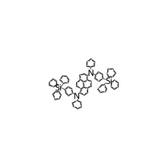 c1ccc(N(c2ccc([Si](c3ccccc3)(c3ccccc3)c3ccccc3)cc2)c2ccc3ccc4c(N(c5ccccc5)c5ccc([Si](c6ccccc6)(c6ccccc6)c6ccccc6)cc5)ccc5ccc2c3c54)cc1